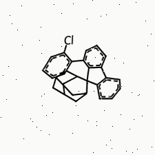 Clc1ccccc1-c1cccc2c1C1(c3ccccc3-2)C2CC3CC(C2)CC1C3